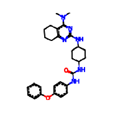 CN(C)c1nc(NC2CCC(NC(=O)Nc3ccc(Oc4ccccc4)cc3)CC2)nc2c1CCCC2